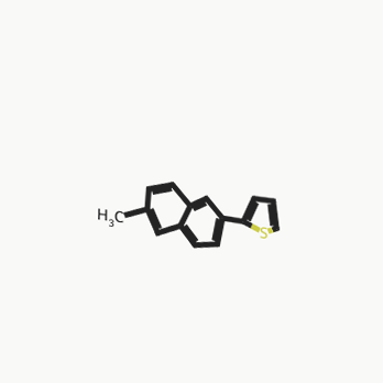 Cc1ccc2cc(-c3cccs3)ccc2c1